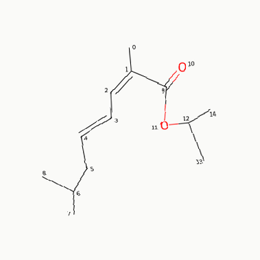 CC(=CC=CCC(C)C)C(=O)OC(C)C